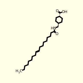 CCCCCCCCC=CCCCCCCCC(=O)NC[C@H]1CC[C@H](C(=O)O)CC1